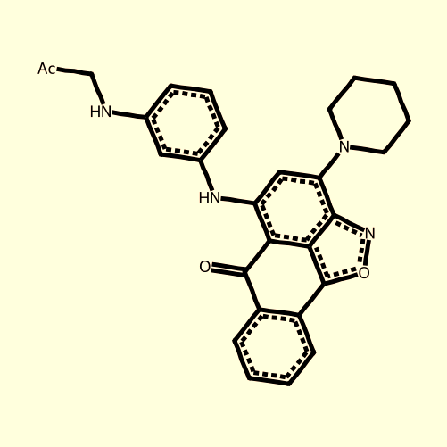 CC(=O)CNc1cccc(Nc2cc(N3CCCCC3)c3noc4c3c2C(=O)c2ccccc2-4)c1